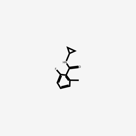 Cc1cccc(F)c1C(=O)NC1CC1